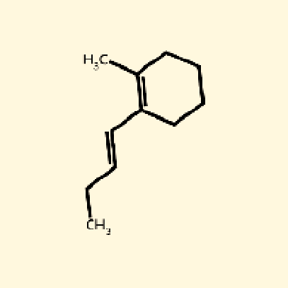 CCC=CC1=C(C)CCCC1